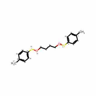 Cc1ccc(SOCCCCOSc2ccc(C)cc2)cc1